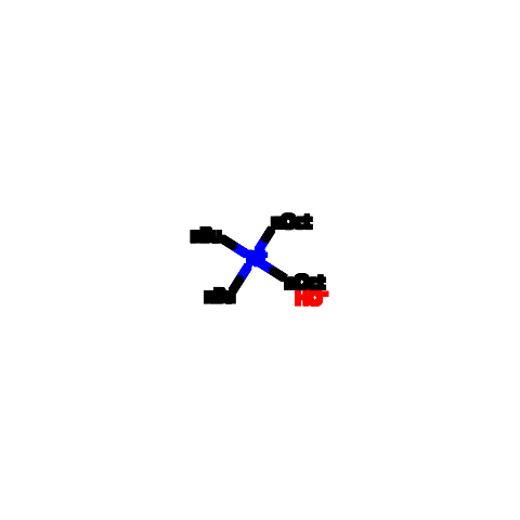 CCCCCCCC[N+](CCCC)(CCCC)CCCCCCCC.[OH-]